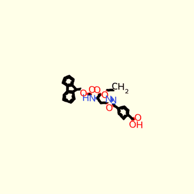 C=CCOC(=O)C(Cc1nnc(-c2ccc(C(=O)O)cc2)o1)NC(=O)OCC1c2ccccc2-c2ccccc21